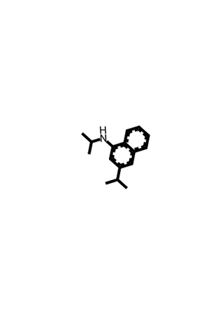 CC(C)Nc1cc(C(C)C)cc2ccccc12